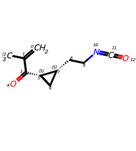 C=C(C)C(=O)[C@H]1C[C@H]1CCN=C=O